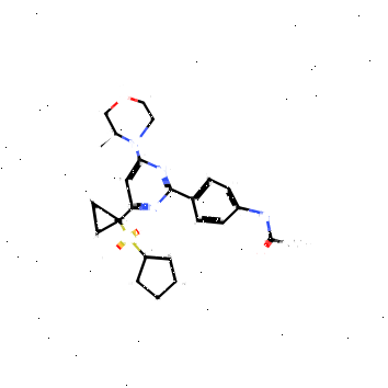 CNC(=O)Nc1ccc(-c2nc(N3CCOC[C@@H]3C)cc(C3(S(=O)(=O)C4CCCC4)CC3)n2)cc1